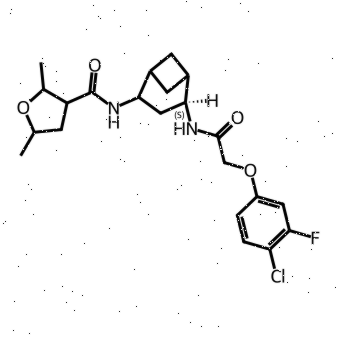 CC1CC(C(=O)NC2C[C@H](NC(=O)COc3ccc(Cl)c(F)c3)C3CC2C3)C(C)O1